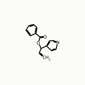 C=CC(OC(=O)c1ccccc1)c1ccncc1